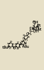 CCCCc1nc(-c2ccc(OCCC[N+](CC)(CC)C(CCO)N(CC)CC)cc2)cn1-c1ccc(Oc2cccc(C(C)(C)C)c2)cc1